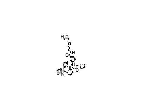 CCCOCCCNC(=O)c1cccc(Nc2nccc(-c3c(-c4cccc(NC(=O)Cc5ccccc5)c4)nc4sccn34)n2)c1